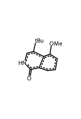 COc1cccc2c(=O)[nH]cc(C(C)(C)C)c12